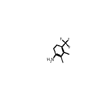 CC1=C(N)CCC(C(F)(F)F)=C1C